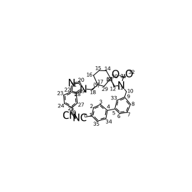 N#Cc1ccc(-c2cccc(CN3C[C@@]4(CCC[C@H](Cn5cnc6ccc(C#N)cc65)C4)OC3=O)c2)cc1